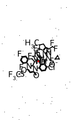 CC1Cc2c(C(F)F)nn(CC(=O)NC(Cc3cc(F)cc(F)c3)c3nc(OSC(F)(F)F)cc(=O)n3-c3ccc(Cl)c4c(N[S+]([O-])C5CC5)nn(CC(F)F)c34)c2C1(F)F